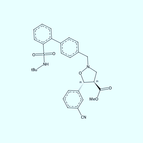 COC(=O)[C@@H]1CN(Cc2ccc(-c3ccccc3S(=O)(=O)NC(C)(C)C)cc2)O[C@H]1c1cccc(C#N)c1